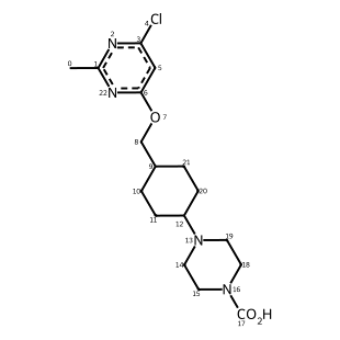 Cc1nc(Cl)cc(OCC2CCC(N3CCN(C(=O)O)CC3)CC2)n1